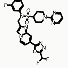 O=S(=O)(C1CCN(c2ncccn2)CC1)N(Cc1cn2ccc(-c3nnc(C(F)F)o3)cc2n1)c1cccc(F)c1